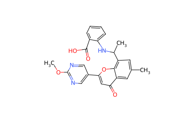 COc1ncc(-c2cc(=O)c3cc(C)cc(C(C)Nc4ccccc4C(=O)O)c3o2)cn1